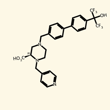 O=C(O)[C@H]1CN(Cc2ccc(-c3ccc(C(O)(C(F)(F)F)C(F)(F)F)cc3)cc2)CCN1Cc1ccncc1